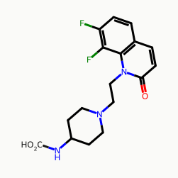 O=C(O)NC1CCN(CCn2c(=O)ccc3ccc(F)c(F)c32)CC1